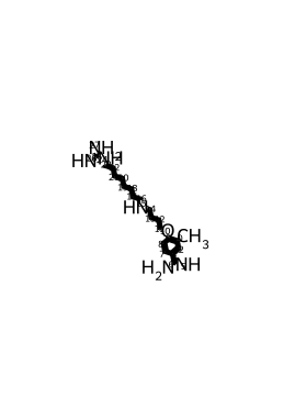 Cc1cc(C(=N)N)ccc1OCCCCNCCCCCCCCNC(=N)N